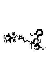 Cc1noc(C)c1S(=O)(=O)NCCCCNc1cc(-c2ccccc2Cl)nc2c(Br)cnn12